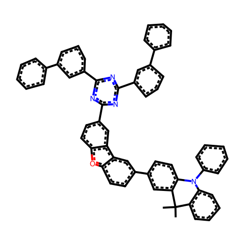 CC1(C)c2ccccc2N(c2ccccc2)c2ccc(-c3ccc4oc5ccc(-c6nc(-c7cccc(-c8ccccc8)c7)nc(-c7cccc(-c8ccccc8)c7)n6)cc5c4c3)cc21